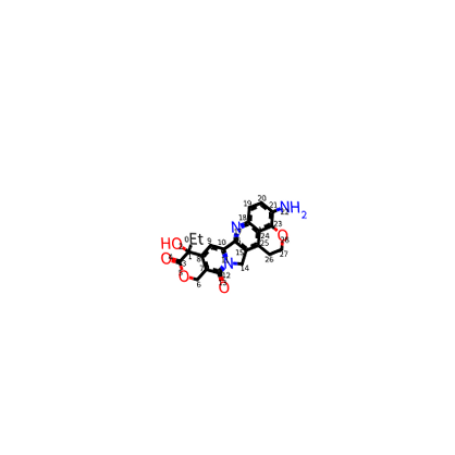 CCC1(O)C(=O)OCc2c1cc1n(c2=O)Cc2c-1nc1ccc(N)c3c1c2CCO3